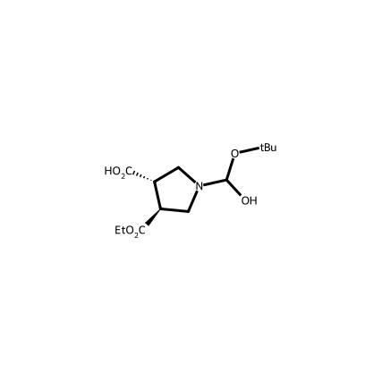 CCOC(=O)[C@@H]1CN(C(O)OC(C)(C)C)C[C@H]1C(=O)O